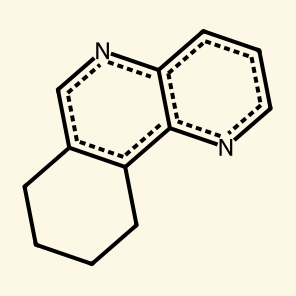 c1cnc2c3c(cnc2c1)CCCC3